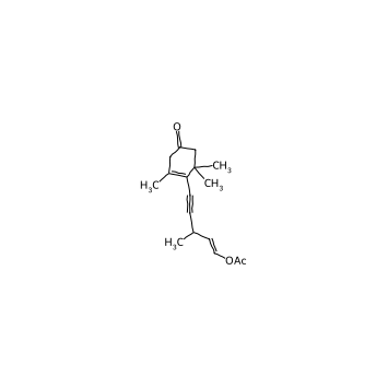 CC(=O)OC=CC(C)C#CC1=C(C)CC(=O)CC1(C)C